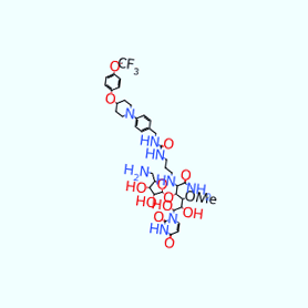 COC(C(O)C(O)n1ccc(=O)[nH]c1=O)C(OC1OC(CN)C(O)C1O)C(NCCCNC(=O)NCc1ccc(N2CCC(Oc3ccc(OC(F)(F)F)cc3)CC2)cc1)C(N)=O